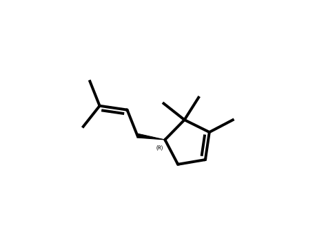 CC(C)=CC[C@@H]1CC=C(C)C1(C)C